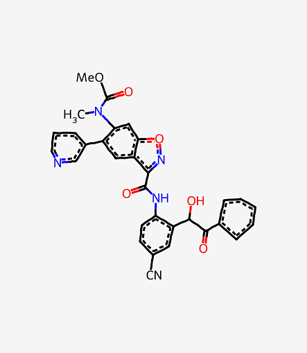 COC(=O)N(C)c1cc2onc(C(=O)Nc3ccc(C#N)cc3C(O)C(=O)c3ccccc3)c2cc1-c1cccnc1